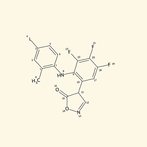 Cc1cc(I)ccc1Nc1c(C2C=NOC2=O)cc(F)c(F)c1F